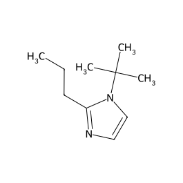 CCCc1nccn1C(C)(C)C